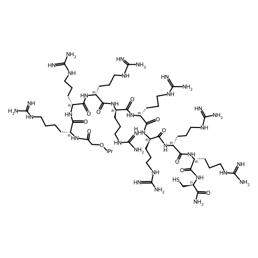 CC(C)OCC(=O)N[C@H](CCCCNC(=N)N)C(=O)N[C@H](CCCNC(=N)N)C(=O)N[C@H](CCCNC(=N)N)C(=O)N[C@H](CCCNC(=N)N)C(=O)N[C@H](CCCNC(=N)N)C(=O)N[C@H](CCCNC(=N)N)C(=O)N[C@H](CCCNC(=N)N)C(=O)N[C@H](CCCNC(=N)N)C(=O)N[C@H](CS)C(N)=O